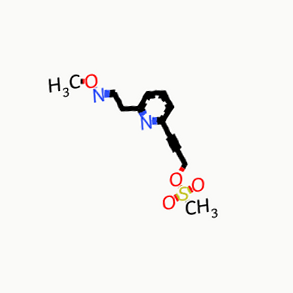 CON=CCc1cccc(C#CCOS(C)(=O)=O)n1